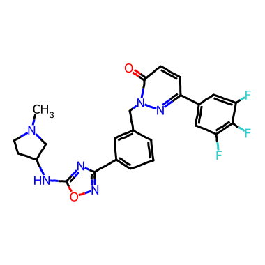 CN1CCC(Nc2nc(-c3cccc(Cn4nc(-c5cc(F)c(F)c(F)c5)ccc4=O)c3)no2)C1